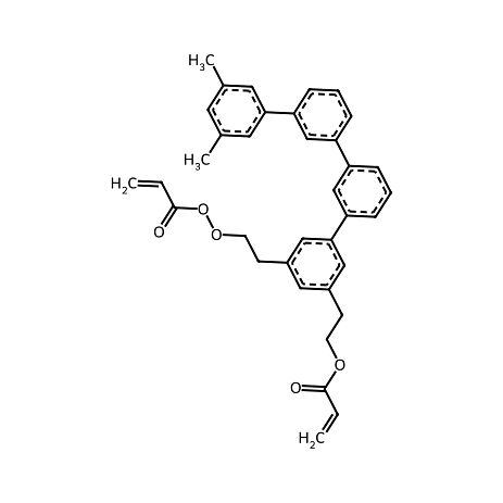 C=CC(=O)OCCc1cc(CCOOC(=O)C=C)cc(-c2cccc(-c3cccc(-c4cc(C)cc(C)c4)c3)c2)c1